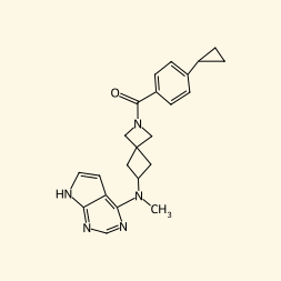 CN(c1ncnc2[nH]ccc12)C1CC2(C1)CN(C(=O)c1ccc(C3CC3)cc1)C2